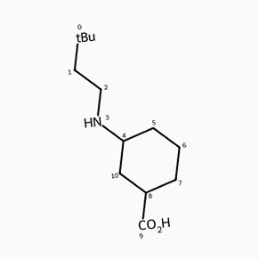 CC(C)(C)CCNC1CCCC(C(=O)O)C1